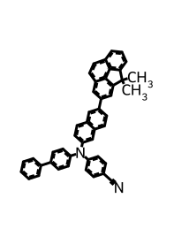 CC1(C)c2cccc3ccc4cc(-c5ccc6cc(N(c7ccc(C#N)cc7)c7ccc(-c8ccccc8)cc7)ccc6c5)cc1c4c23